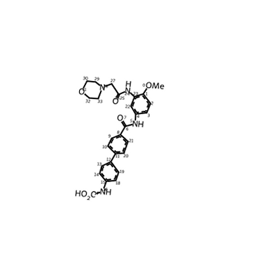 COc1ccc(NC(=O)c2ccc(-c3ccc(NC(=O)O)cc3)cc2)cc1NC(=O)CN1CCOCC1